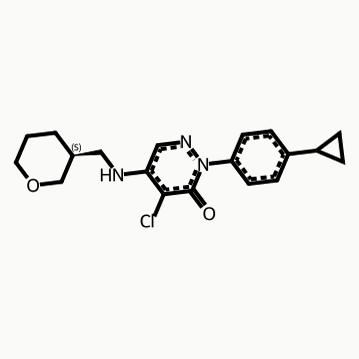 O=c1c(Cl)c(NC[C@@H]2CCCOC2)cnn1-c1ccc(C2CC2)cc1